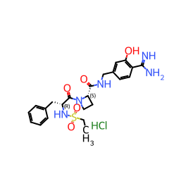 CCS(=O)(=O)N[C@H](Cc1ccccc1)C(=O)N1CC[C@H]1C(=O)NCc1ccc(C(=N)N)c(O)c1.Cl